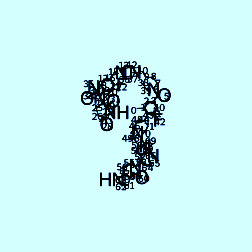 Cc1cc(C(=O)N2CCC(CN3CCN(Cc4cc5c(cc4F)n([C@@H]4CCC(=O)NC4=O)c(=O)n5C)CC3)CC2)cc(F)c1C1=CCN([C@@H](C)c2cc3c(-n4ccc5c(c4=O)CCN5)ccnc3n2C)CC1